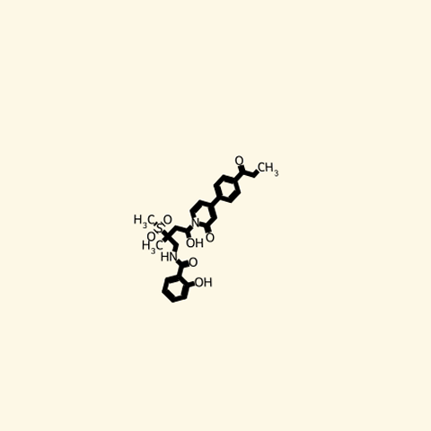 CCC(=O)c1ccc(-c2ccn(C(O)CC(C)(CNC(=O)c3ccccc3O)S(C)(=O)=O)c(=O)c2)cc1